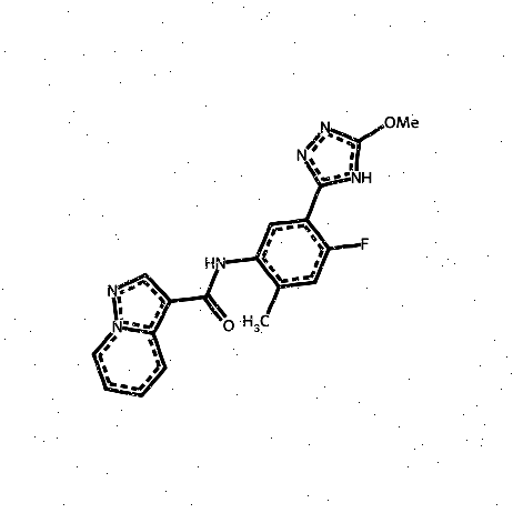 COc1nnc(-c2cc(NC(=O)c3cnn4ccccc34)c(C)cc2F)[nH]1